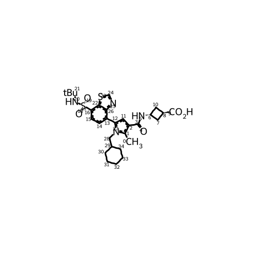 Cc1c(C(=O)N[C@H]2C[C@H](C(=O)O)C2)cc(-c2ccc(S(=O)(=O)NC(C)(C)C)c3scnc23)n1CC1CCCCC1